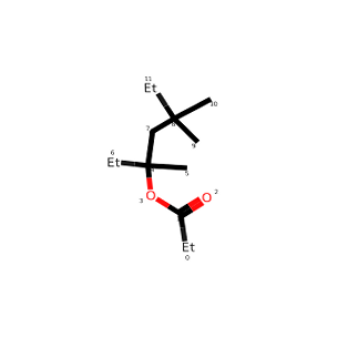 CCC(=O)OC(C)(CC)CC(C)(C)CC